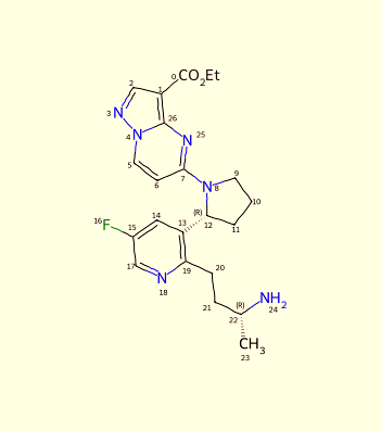 CCOC(=O)c1cnn2ccc(N3CCC[C@@H]3c3cc(F)cnc3CC[C@@H](C)N)nc12